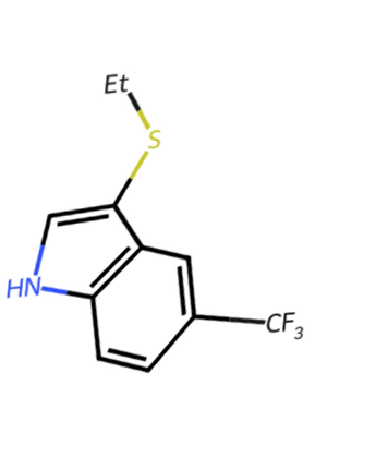 CCSc1c[nH]c2ccc(C(F)(F)F)cc12